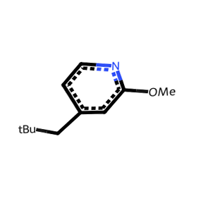 COc1cc(CC(C)(C)C)ccn1